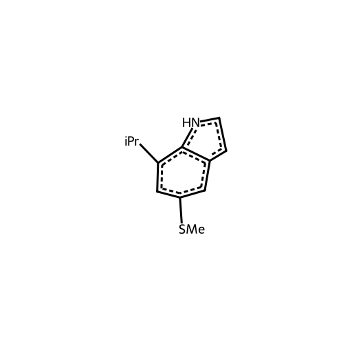 CSc1cc(C(C)C)c2[nH]ccc2c1